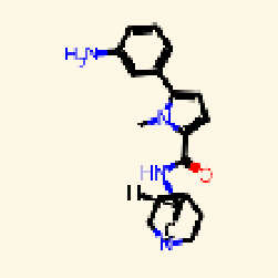 Cn1c(C(=O)N[C@H]2CN3CCC2CC3)ccc1-c1cccc(N)c1